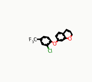 FC(F)(F)c1ccc(Oc2ccc3c(c2)OCC=C3)c(Cl)c1